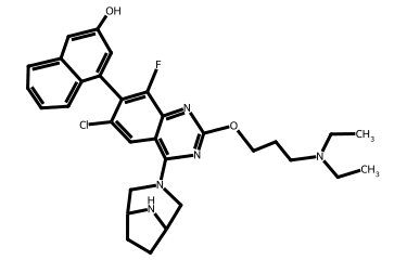 CCN(CC)CCCOc1nc(N2CC3CCC(C2)N3)c2cc(Cl)c(-c3cc(O)cc4ccccc34)c(F)c2n1